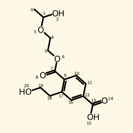 CC(O)OCCOC(=O)c1ccc(C(=O)O)cc1CCO